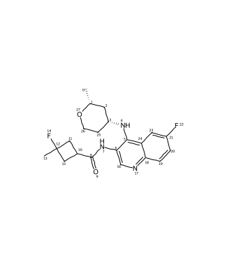 C[C@@H]1C[C@H](Nc2c(NC(=O)C3CC(C)(F)C3)cnc3ccc(F)cc23)CCO1